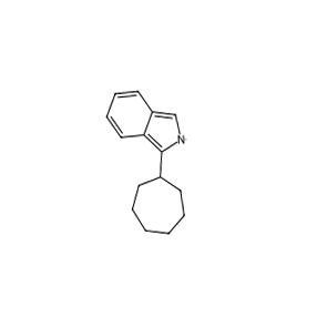 C1=c2ccccc2=C(C2CCCCCC2)[N]1